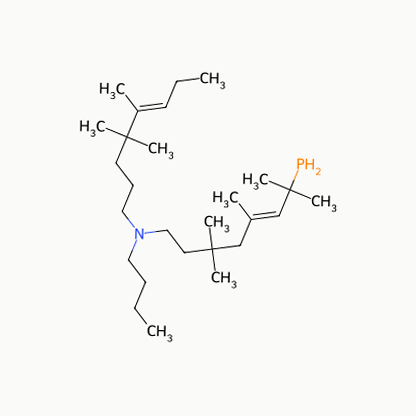 CC/C=C(\C)C(C)(C)CCCN(CCCC)CCC(C)(C)C/C(C)=C/C(C)(C)P